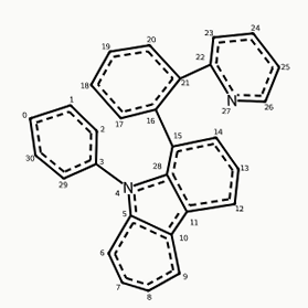 c1ccc(-n2c3ccccc3c3cccc(-c4ccccc4-c4ccccn4)c32)cc1